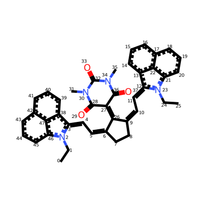 CCn1/c(=C\C=C2\CC/C(=C/C=c3/c4cccc5cccc(c54)n3CC)C2=C2C(=O)N(C)C(=O)N(C)C2=O)c2cccc3cccc1c32